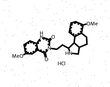 COc1ccc2[nH]c(=O)n(CCC3NCC4CCc5c(OC)cccc5C43)c(=O)c2c1.Cl